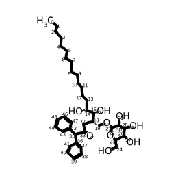 CCCCCCCCCCCCCC[C@@H](O)[C@@H](O)[C@H](COC1OC(CO)C(O)C(O)C1O)CC(=O)C(c1ccccc1)c1ccccc1